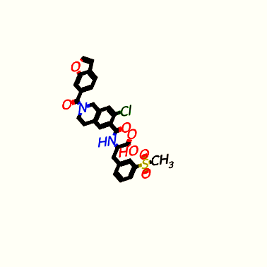 CS(=O)(=O)c1cccc(CC(NC(=O)c2cc3c(cc2Cl)CN(C(=O)c2ccc4ccoc4c2)CC3)C(=O)O)c1